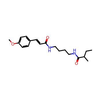 CCC(C)C(=O)NCCCCNC(=O)/C=C/c1ccc(OC)cc1